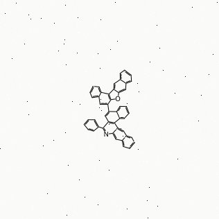 c1ccc(-c2nc3cc4ccccc4cc3c3c2cc(-c2cc4ccccc4c4c2oc2cc5ccccc5cc24)c2ccccc23)cc1